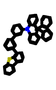 c1ccc([Si]2(c3ccccc3)c3ccccc3N(c3cccc(-c4cccc(-c5cccc6c5sc5ccccc56)c4)c3)c3ccccc32)cc1